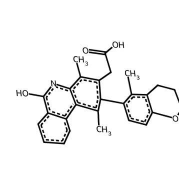 Cc1c(-c2c(CC(=O)O)c(C)c3nc(O)c4ccccc4c3c2C)ccc2c1CCCO2